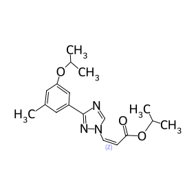 Cc1cc(OC(C)C)cc(-c2ncn(/C=C\C(=O)OC(C)C)n2)c1